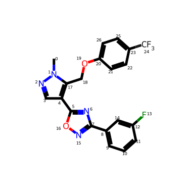 Cn1ncc(-c2nc(-c3cccc(F)c3)no2)c1COc1ccc(C(F)(F)F)cc1